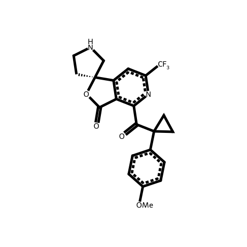 COc1ccc(C2(C(=O)c3nc(C(F)(F)F)cc4c3C(=O)O[C@]43CCNC3)CC2)cc1